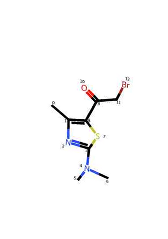 Cc1nc(N(C)C)sc1C(=O)CBr